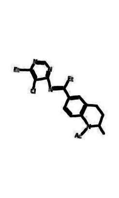 CCC(=Nc1ncnc(CC)c1Cl)c1ccc2c(c1)CCC(C)N2C(C)=O